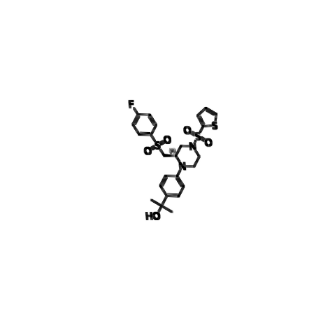 CC(C)(O)c1ccc(N2CCN(S(=O)(=O)c3cccs3)C[C@@H]2CS(=O)(=O)c2ccc(F)cc2)cc1